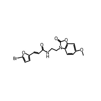 COc1ccc2c(c1)oc(=O)n2CCNC(=O)/C=C/c1ccc(Br)o1